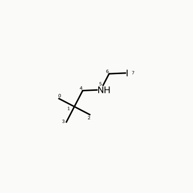 CC(C)(C)CNCI